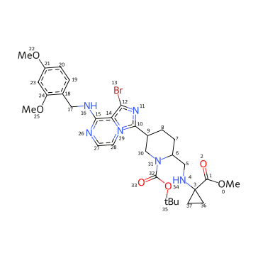 COC(=O)C1(NCC2CCC(c3nc(Br)c4c(NCc5ccc(OC)cc5OC)nccn34)CN2C(=O)OC(C)(C)C)CC1